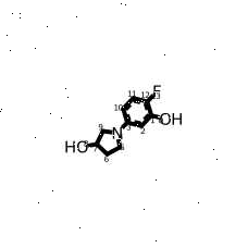 Oc1cc(N2CCC(O)C2)ccc1F